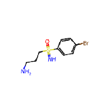 N=S(=O)(CCCN)c1ccc(Br)cc1